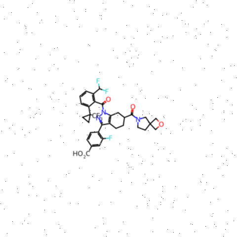 O=C(O)c1ccc(-c2nn(C(=O)c3c(C(F)F)cccc3C3(C(F)(F)F)CC3)c3c2CCC(C(=O)N2CCC4(COC4)C2)C3)c(F)c1